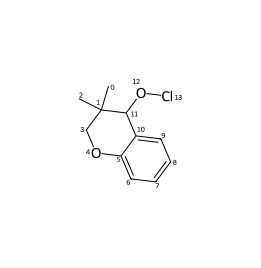 CC1(C)COc2ccccc2C1OCl